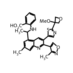 COC1(c2ncc(-c3cc4c(C(C)Nc5ccccc5C(=O)O)cc(C)cc4nc3-c3conc3C)s2)COC1